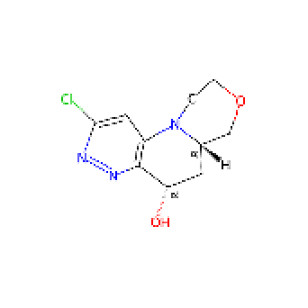 O[C@H]1C[C@H]2COCCN2c2cc(Cl)nnc21